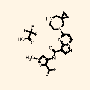 Cn1cc(NC(=O)c2cnn3ccc(N4CCNCC5(CC5)C4)nc23)c(C(F)F)n1.O=C(O)C(F)(F)F